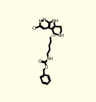 O=C(NCCCCC[C@H]1NCCc2[nH]c3nnc(Cl)cc3c21)OCc1ccccc1